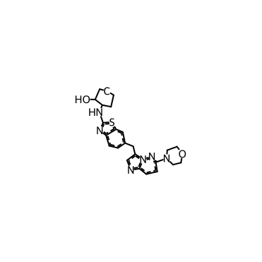 OC1CCCCC1Nc1nc2ccc(Cc3cnc4ccc(N5CCOCC5)nn34)cc2s1